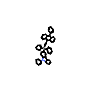 C(#C[Si](c1ccccc1)(c1ccccc1)c1ccc2c(c1)c1ccccc1n2-c1ccccc1)c1c2ccccc2c(-c2ccccc2)c2ccccc12